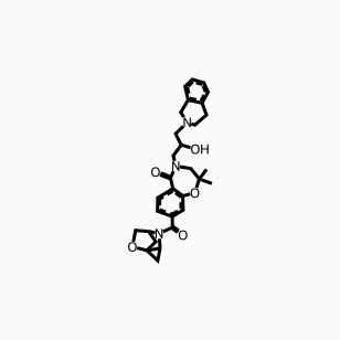 CC1(C)CN(CC(O)CN2CCc3ccccc3C2)C(=O)c2ccc(C(=O)N3C4COC5(C4)CC35)cc2O1